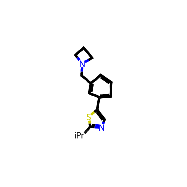 CC(C)c1ncc(-c2cccc(CN3CCC3)c2)s1